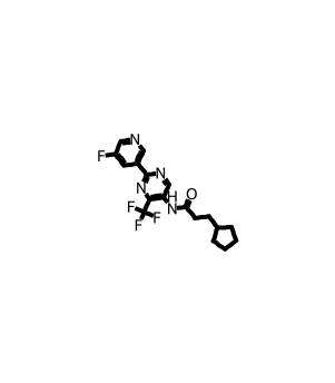 O=C(CCC1CCCC1)Nc1cnc(-c2cncc(F)c2)nc1C(F)(F)F